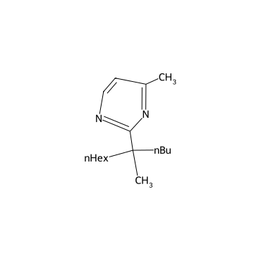 CCCCCCC(C)(CCCC)c1nccc(C)n1